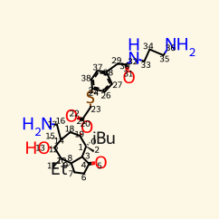 CC[C@@H](C)[C@]1(C)C2C(=O)CC[C@@]2(CC)[C@@H](C)[C@H](O)[C@@](C)(CN)C[C@H]1OC(=O)CSc1ccc(CC(=O)NCCCN)cc1